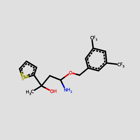 CC(O)(CC(N)OCc1cc(C(F)(F)F)cc(C(F)(F)F)c1)c1cccs1